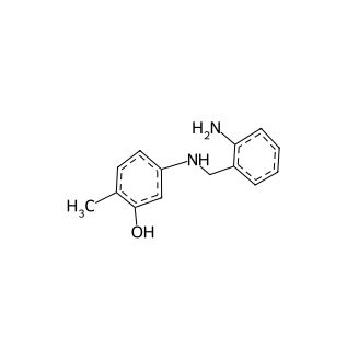 Cc1ccc(NCc2ccccc2N)cc1O